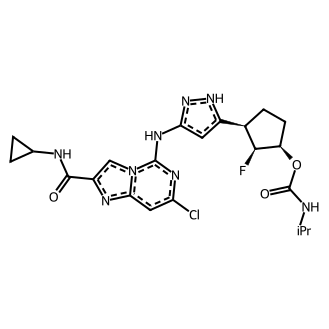 CC(C)NC(=O)O[C@@H]1CC[C@H](c2cc(Nc3nc(Cl)cc4nc(C(=O)NC5CC5)cn34)n[nH]2)[C@@H]1F